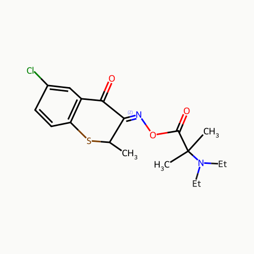 CCN(CC)C(C)(C)C(=O)O/N=C1/C(=O)c2cc(Cl)ccc2SC1C